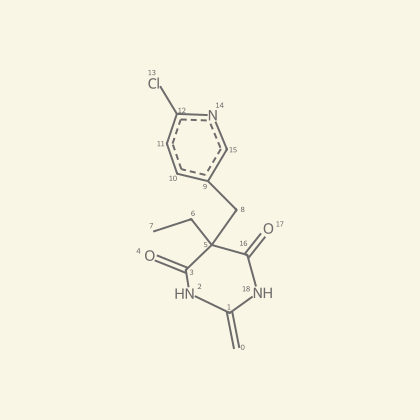 C=C1NC(=O)C(CC)(Cc2ccc(Cl)nc2)C(=O)N1